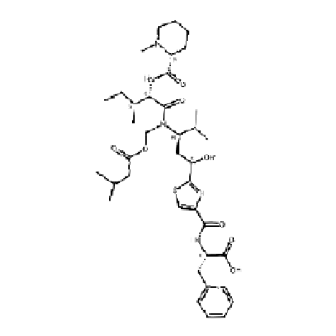 CC[C@H](C)[C@H](NC(=O)[C@H]1CCCCN1C)C(=O)N(COC(=O)CC(C)C)[C@H](C[C@@H](O)c1nc(C(=O)N[C@@H](Cc2ccccc2)C(=O)O)cs1)C(C)C